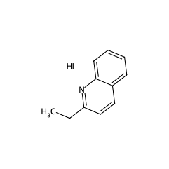 CCc1ccc2ccccc2n1.I